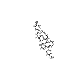 CC(C)(C)c1ccc(-c2c3ccccc3c(-c3ccc4ccc5c(-c6ccc(C(F)(F)F)cc6)ccc6ccc3c4c65)c3ccccc23)cc1